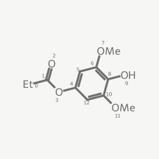 CCC(=O)Oc1cc(OC)c(O)c(OC)c1